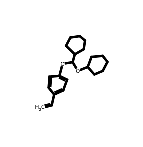 C=Cc1ccc(OC(OC2CCCCC2)C2CCCCC2)cc1